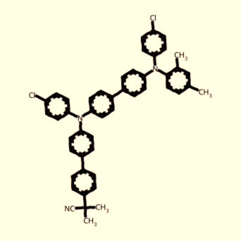 Cc1ccc(N(c2ccc(Cl)cc2)c2ccc(-c3ccc(N(c4ccc(Cl)cc4)c4ccc(-c5ccc(C(C)(C)C#N)cc5)cc4)cc3)cc2)c(C)c1